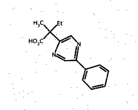 CCC(C)(C(=O)O)c1cnc(-c2ccccc2)cn1